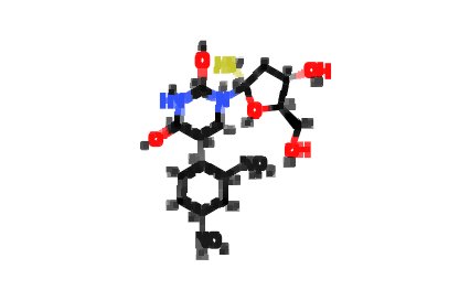 O=c1[nH]c(=O)n([C@@]2(S)C[C@H](O)[C@@H](CO)O2)cc1-c1ccc([N+](=O)[O-])cc1[N+](=O)[O-]